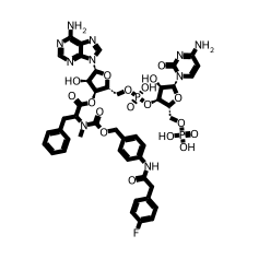 CN(C(=O)OCc1ccc(NC(=O)Cc2ccc(F)cc2)cc1)C(Cc1ccccc1)C(=O)O[C@H]1[C@@H](O)[C@H](n2cnc3c(N)ncnc32)O[C@@H]1COP(=O)(O)O[C@H]1[C@@H](O)[C@H](n2ccc(N)nc2=O)O[C@@H]1COP(=O)(O)O